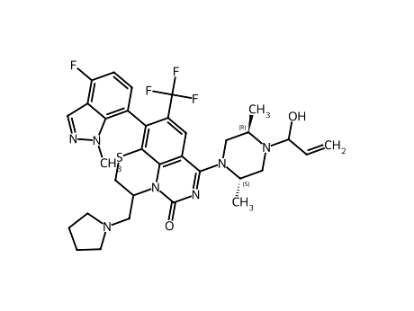 C=CC(O)N1C[C@H](C)N(c2nc(=O)n3c4c(c(-c5ccc(F)c6cnn(C)c56)c(C(F)(F)F)cc24)SCC3CN2CCCC2)C[C@H]1C